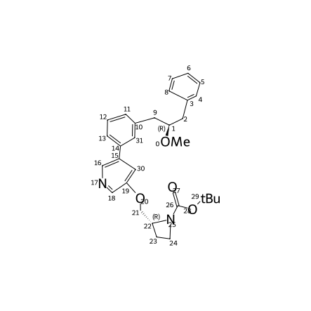 CO[C@H](Cc1ccccc1)Cc1cccc(-c2cncc(OC[C@H]3CCN3C(=O)OC(C)(C)C)c2)c1